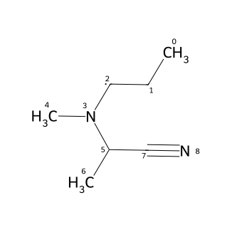 CC[CH]N(C)C(C)C#N